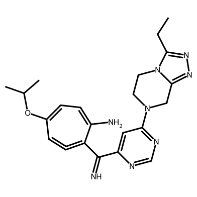 CCc1nnc2n1CCN(c1cc(C(=N)C3=C=CC(OC(C)C)=CC=C3N)ncn1)C2